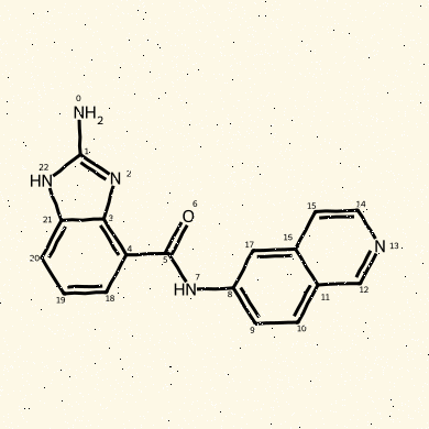 Nc1nc2c(C(=O)Nc3ccc4cnccc4c3)cccc2[nH]1